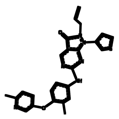 C=CCn1c(=O)c2cnc(Nc3ccc(Oc4ccc(C)nc4)c(C)c3)nc2n1-c1ccsc1